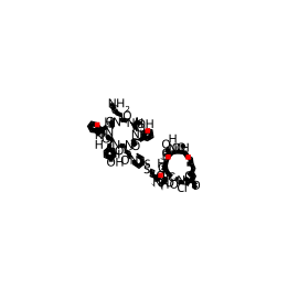 COc1cc2cc(c1Cl)N(C)C(O)C[C@H](OC(=O)[C@H](C)N(C)C(=O)CCSSC1CCN(C(=O)CC[C@H]3C(=O)N[C@@H](Cc4ccc(O)cc4)C(=O)N[C@H](Cc4c[nH]c5ccccc45)C(=O)N[C@@H](CCCCN)C(=O)N[C@@H]([C@@H](C)O)C(=O)N[C@@H](Cc4ccccc4)C(=O)N3C)CC1)[C@]1(C)O[C@H]1[C@H](C)[C@@H]1C[C@@](O)(NC(=O)O1)[C@H](OC)/C=C/C=C(\C)C2